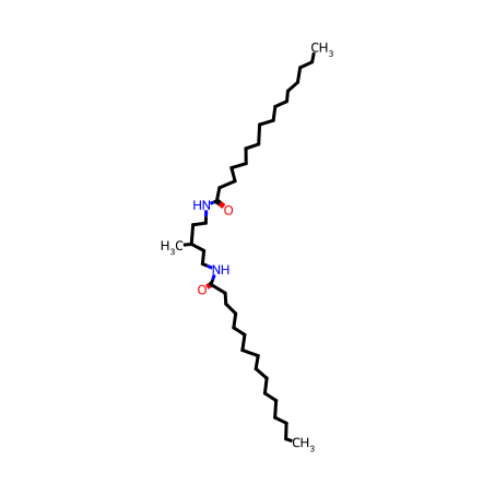 CCCCCCCCCCCCCCCC(=O)NCCC(C)CCNC(=O)CCCCCCCCCCCCCCC